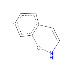 [c]1ccc2c(c1)ONC=C2